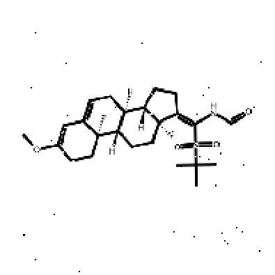 COC1=CC2=CC[C@@H]3[C@H](CC[C@]4(C)/C(=C(/NC=O)S(=O)(=O)C(C)(C)C)CC[C@@H]34)[C@@]2(C)CC1